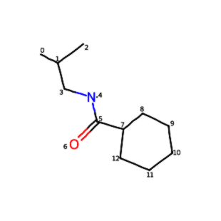 CC(C)C[N]C(=O)C1CCCCC1